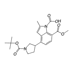 COC(=O)c1ccc(C2CCN(C(=O)OC(C)(C)C)C2)c2cc(C)n(C(=O)O)c12